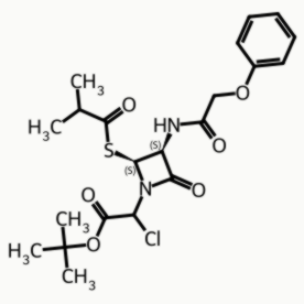 CC(C)C(=O)S[C@H]1[C@@H](NC(=O)COc2ccccc2)C(=O)N1C(Cl)C(=O)OC(C)(C)C